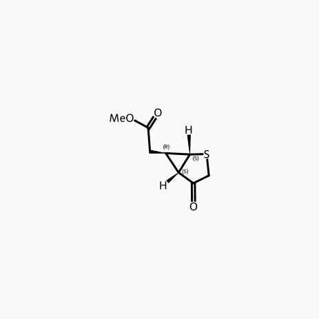 COC(=O)C[C@H]1[C@@H]2SCC(=O)[C@H]12